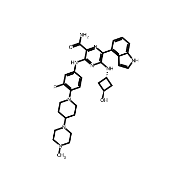 CN1CCN(C2CCN(c3ccc(Nc4nc(N[C@H]5C[C@H](O)C5)c(-c5cccc6[nH]ccc56)nc4C(N)=O)cc3F)CC2)CC1